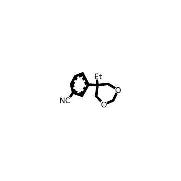 CCC1(c2cccc(C#N)c2)COCOC1